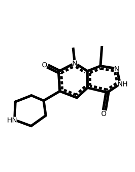 Cc1n[nH]c(=O)c2cc(C3CCNCC3)c(=O)n(C)c12